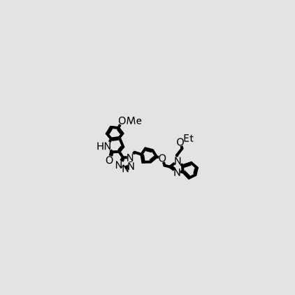 CCOCCn1c(COc2ccc(Cn3nnnc3-c3cc4cc(OC)ccc4[nH]c3=O)cc2)nc2ccccc21